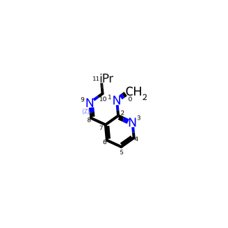 C=Nc1ncccc1/C=N\CC(C)C